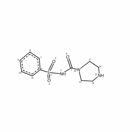 O=C(NS(=O)(=O)c1ccccc1)N1CCNCC1